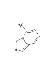 Cc1cccc2cnnn12